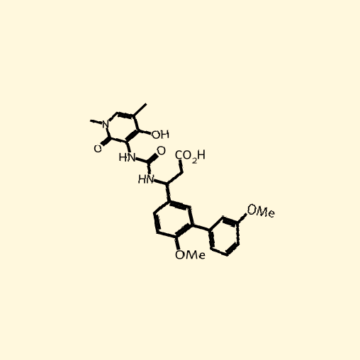 COc1cccc(-c2cc(C(CC(=O)O)NC(=O)Nc3c(O)c(C)cn(C)c3=O)ccc2OC)c1